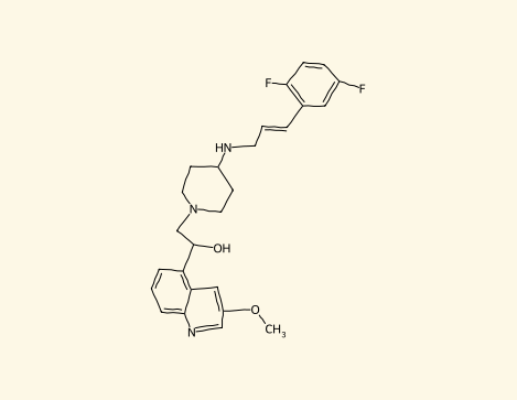 COc1cnc2cccc(C(O)CN3CCC(NC/C=C/c4cc(F)ccc4F)CC3)c2c1